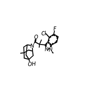 Cn1nc(C(C)(C)C(=O)N2C3CC4(C)CC2CC(O)(C3)C4)c2c(Cl)c(F)ccc21